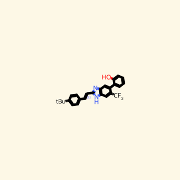 CC(C)(C)c1ccc(/C=C/c2nc3cc(-c4ccccc4O)c(C(F)(F)F)cc3[nH]2)cc1